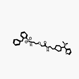 CN(C)C(c1cccs1)C1CCC(CCNC(=O)COCCNS(=O)(=O)c2ccccc2Cc2ccccc2)CC1